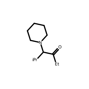 CCC(=O)C(C(C)C)N1CCCCC1